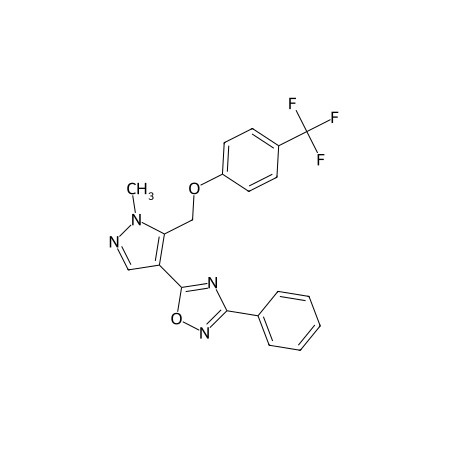 Cn1ncc(-c2nc(-c3ccccc3)no2)c1COc1ccc(C(F)(F)F)cc1